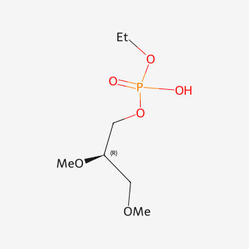 CCOP(=O)(O)OC[C@@H](COC)OC